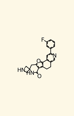 O=C1NC2(CNC2)Cc2oc3c(c21)CCc1cnc(-c2cccc(F)c2)cc1-3